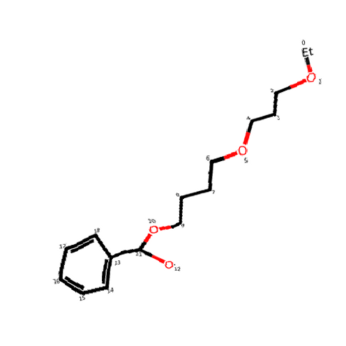 CCOCCCOCCCCOC([O])c1ccccc1